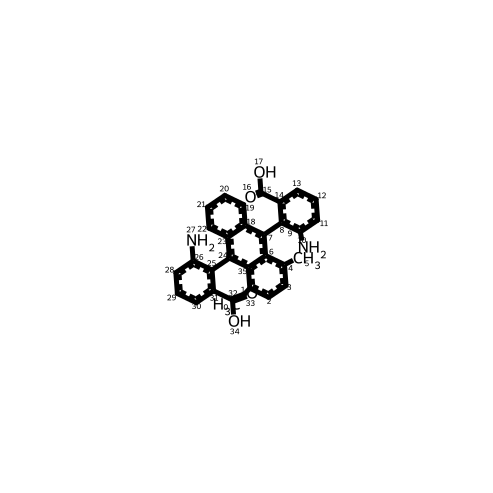 Cc1ccc(C)c2c(-c3c(N)cccc3C(=O)O)c3ccccc3c(-c3c(N)cccc3C(=O)O)c12